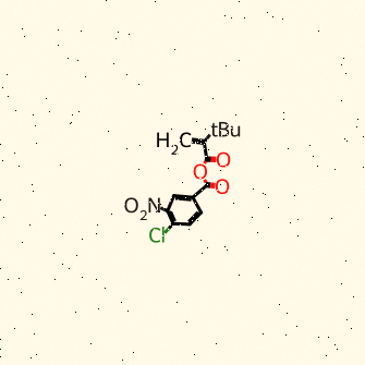 C=C(C(=O)OC(=O)c1ccc(Cl)c([N+](=O)[O-])c1)C(C)(C)C